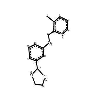 Cc1cccnc1COc1cccc(C2OCCO2)c1